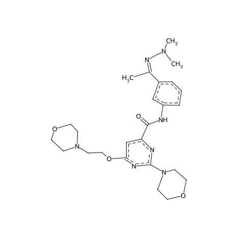 C/C(=N/N(C)C)c1cccc(NC(=O)c2cc(OCCN3CCOCC3)nc(N3CCOCC3)n2)c1